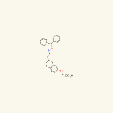 O=C(O)COc1ccc2c(c1)CC(CC=NOC(c1ccccc1)c1ccccc1)CC2